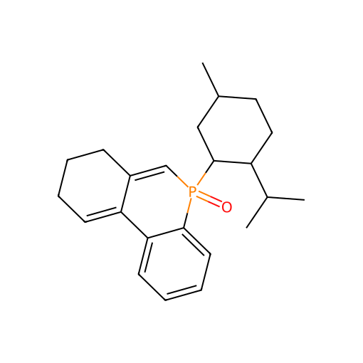 CC1CCC(C(C)C)C(P2(=O)C=C3CCCC=C3c3ccccc32)C1